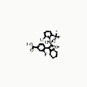 O=C(O)c1ccc(-c2c(S(=O)(=O)c3c(Cl)cccc3C(F)(F)F)[nH]c3c2CCCC3)c(F)c1